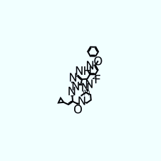 N#CC(=CC1CC1)C(=O)N1CCC[C@@H](n2nc(-c3cnc(Oc4ccccc4)cc3F)c3c(N)ncnc32)C1